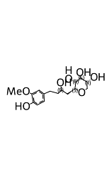 COc1cc(CC[C@@H](O)C[C@@H]2OC[C@@H](O)[C@H](O)[C@H]2O)ccc1O